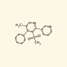 Cc1cnc(-c2cccnc2)c(S(C)(=O)=O)c1-c1ccccc1